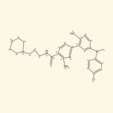 CN(c1ccc(Cl)cc1)c1ccc(O)c(-c2ccc(C(=O)NCCCN3CCOCC3)c(N)n2)c1